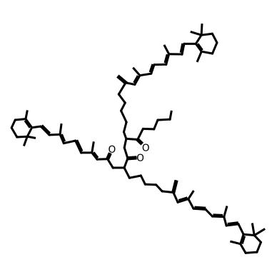 C=C(/C=C(C)/C=C/C=C(C)/C=C/C1=C(C)CCCC1(C)C)CCCCCC(CC(=O)/C=C(C)/C=C/C=C(C)/C=C/C1=C(C)CCCC1(C)C)C(=O)CC(CCCCCC(=C)/C=C(C)/C=C/C=C(C)/C=C/C1=C(C)CCCC1(C)C)C(=O)CCCCC